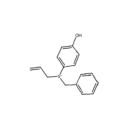 C=CC[S+](Cc1ccccc1)c1ccc(O)cc1